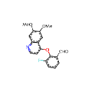 COc1cc2nccc(Oc3c(F)cccc3C=O)c2cc1OC